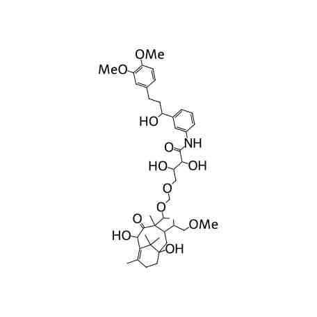 COCC(C)C1CC2(O)CCC(C)=C(C(O)C(=O)C1(C)C(C)OCOCC(O)C(O)C(=O)Nc1cccc(C(O)CCc3ccc(OC)c(OC)c3)c1)C2(C)C